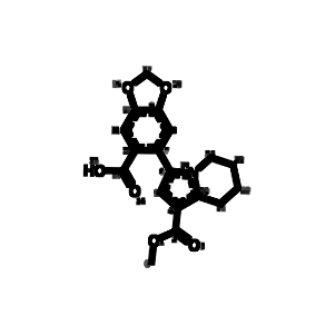 COC(=O)c1cc(-c2cc3c(cc2C(=O)O)OCO3)n2c1CCCC2